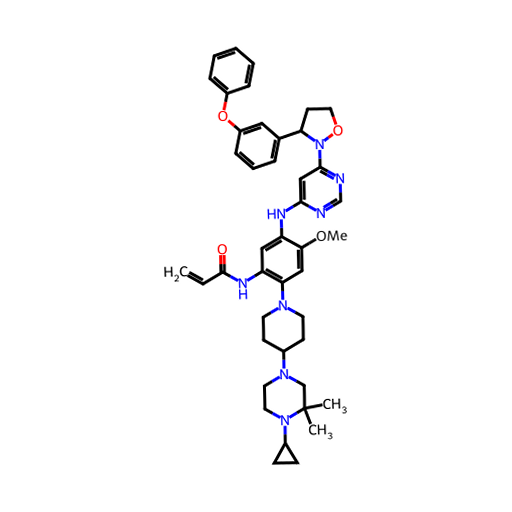 C=CC(=O)Nc1cc(Nc2cc(N3OCCC3c3cccc(Oc4ccccc4)c3)ncn2)c(OC)cc1N1CCC(N2CCN(C3CC3)C(C)(C)C2)CC1